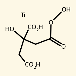 O=C(O)CC(O)(CC(=O)OO)C(=O)O.[Ti]